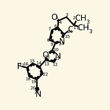 CC1(C)CC(=O)c2ccc(-c3ncc(-c4cc(F)cc(C#N)c4)o3)nc2C1